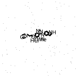 COc1cc2c(Nc3ccc4[nH]ccc4c3)ncnc2cc1OCCCN1CCOCC1.Cl